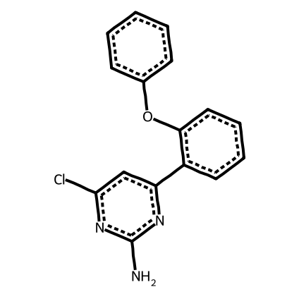 Nc1nc(Cl)cc(-c2ccccc2Oc2ccccc2)n1